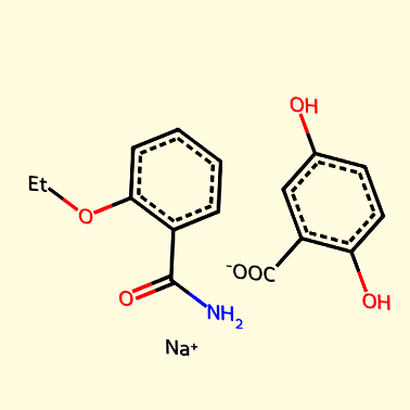 CCOc1ccccc1C(N)=O.O=C([O-])c1cc(O)ccc1O.[Na+]